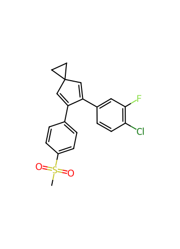 CS(=O)(=O)c1ccc(C2=CC3(C=C2c2ccc(Cl)c(F)c2)CC3)cc1